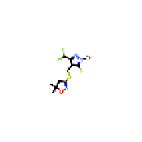 CCn1nc(C(F)F)c(CSC2=NOC(C)(C)C2)c1F